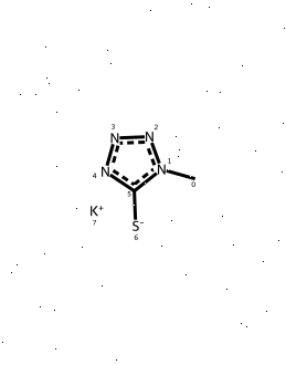 Cn1nnnc1[S-].[K+]